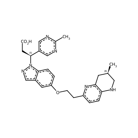 Cc1ncc([C@H](CC(=O)O)n2ncc3cc(OCCc4ccc5c(n4)C[C@@H](C)CN5)ccc32)cn1